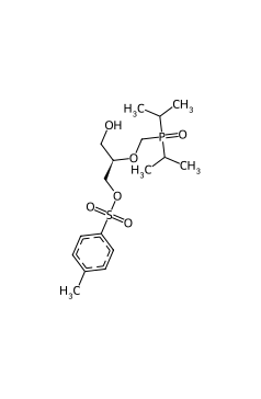 Cc1ccc(S(=O)(=O)OC[C@@H](CO)OCP(=O)(C(C)C)C(C)C)cc1